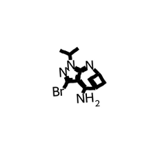 CC(C)n1nc(Br)c2c1=NC1C=C(C1)C=2N